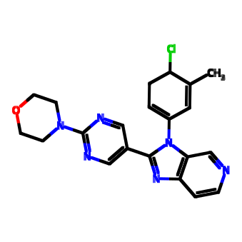 CC1=CC(n2c(-c3cnc(N4CCOCC4)nc3)nc3ccncc32)=CCC1Cl